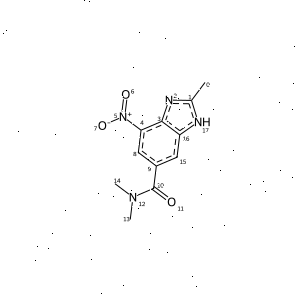 Cc1nc2c([N+](=O)[O-])cc(C(=O)N(C)C)cc2[nH]1